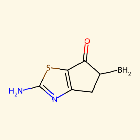 BC1Cc2nc(N)sc2C1=O